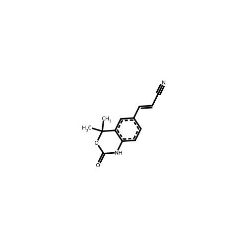 CC1(C)OC(=O)Nc2ccc(C=CC#N)cc21